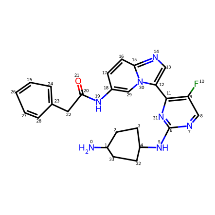 NC1CCC(Nc2ncc(F)c(-c3cnc4ccc(NC(=O)Cc5ccccc5)cn34)n2)CC1